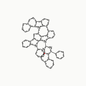 c1ccc(-c2nc(-n3c4cccc5c6cccc7c8ccc9ccccc9c8n(c8cc9c%10ccccc%10n(-c%10ccccc%10)c9c3c8c54)c67)nc3ccc4ccccc4c23)cc1